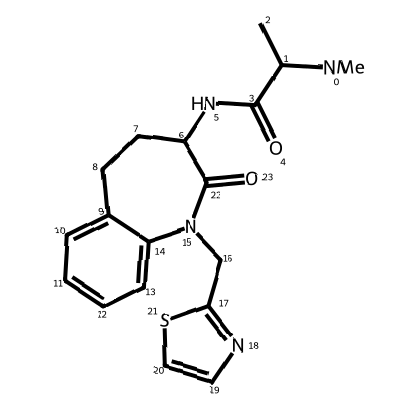 CNC(C)C(=O)NC1CCc2ccccc2N(Cc2nccs2)C1=O